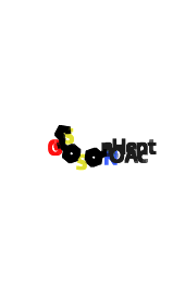 CCCCCCC/C(=N\OC(C)=O)c1ccc(Sc2ccc(C(=O)c3cccs3)cc2)cc1